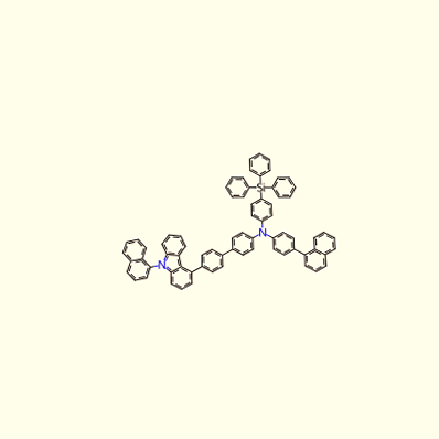 c1ccc([Si](c2ccccc2)(c2ccccc2)c2ccc(N(c3ccc(-c4ccc(-c5cccc6c5c5ccccc5n6-c5cccc6ccccc56)cc4)cc3)c3ccc(-c4cccc5ccccc45)cc3)cc2)cc1